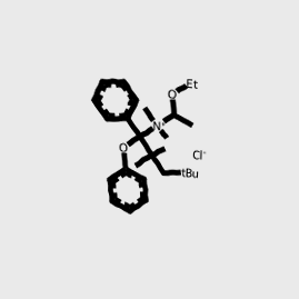 CCOC(C)[N+](C)(C)C(Oc1ccccc1)(c1ccccc1)C(C)(C)CC(C)(C)C.[Cl-]